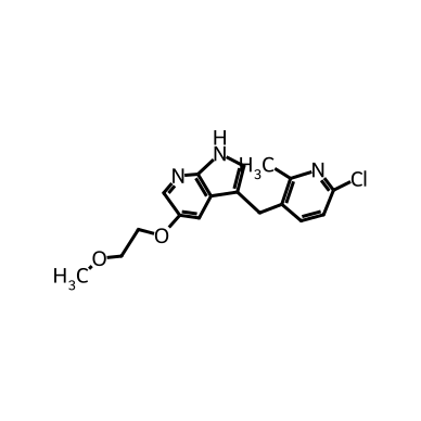 COCCOc1cnc2[nH]cc(Cc3ccc(Cl)nc3C)c2c1